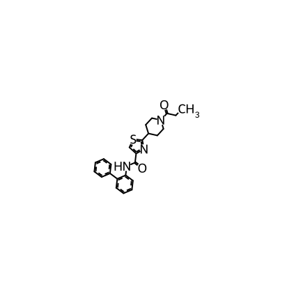 CCC(=O)N1CCC(c2nc(C(=O)Nc3ccccc3-c3ccccc3)cs2)CC1